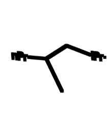 [CH2]CCC(C)C[C](C)C